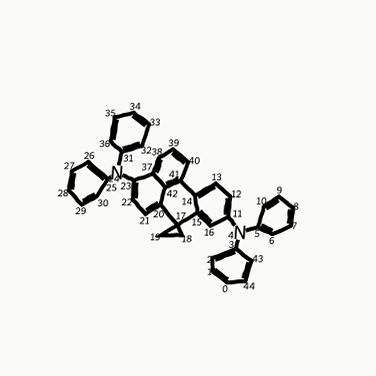 c1ccc(N(c2ccccc2)c2ccc3c(c2)C2(CC2)c2ccc(N(c4ccccc4)c4ccccc4)c4cccc-3c24)cc1